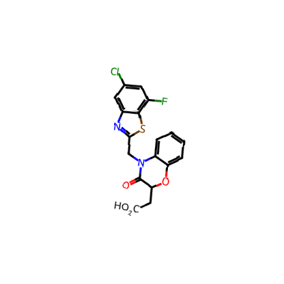 O=C(O)CC1Oc2ccccc2N(Cc2nc3cc(Cl)cc(F)c3s2)C1=O